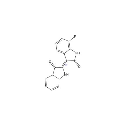 O=C1Nc2c(F)cccc2/C1=C1/NC2C=CC=CC2C1=O